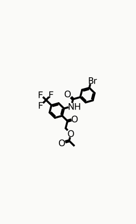 CC(=O)OCC(=O)c1ccc(C(F)(F)F)cc1NC(=O)c1cccc(Br)c1